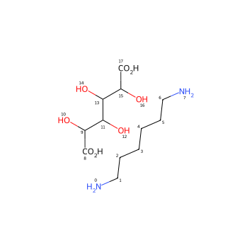 NCCCCCCN.O=C(O)C(O)C(O)C(O)C(O)C(=O)O